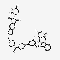 C[C@@H]1Cc2c([nH]c3ccccc23)[C@@H](c2c(F)cc(N3CCC(C(=O)N4CCC(CN5Cc6cc7c(cc6C5)C(=O)N(C5CCC(=O)NC5=O)C7=O)CC4)CC3)cc2F)N1CC(F)F